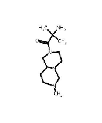 CN1CCC2CN(C(=O)C(C)(C)N)CCN2C1